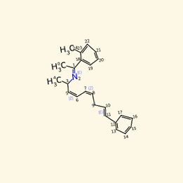 C/C(=N\C(C)/C=C\C=C/C/C=C/c1ccccc1)c1ccccc1C